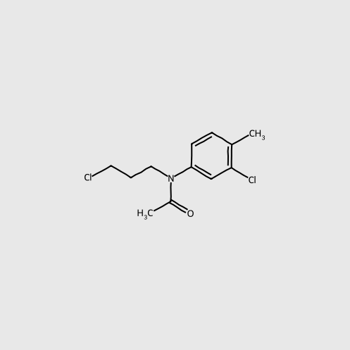 CC(=O)N(CCCCl)c1ccc(C)c(Cl)c1